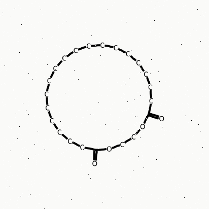 O=C1CCCCCCCCCCCCCCCCCCC(=O)OCCO1